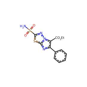 CCOC(=O)c1c(-c2ccccc2)nc2sc(S(N)(=O)=O)nn12